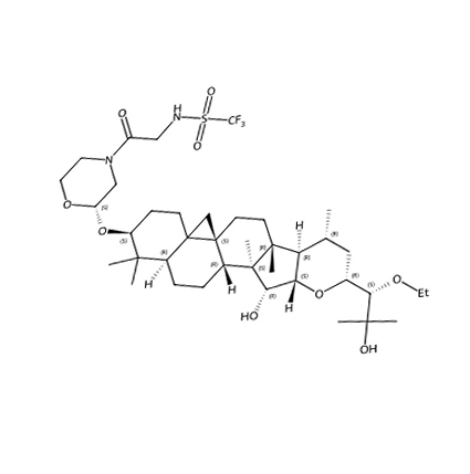 CCO[C@@H]([C@H]1C[C@@H](C)[C@H]2[C@H](O1)[C@H](O)[C@@]1(C)[C@@H]3CC[C@H]4C(C)(C)[C@@H](O[C@H]5CN(C(=O)CNS(=O)(=O)C(F)(F)F)CCO5)CCC45C[C@@]35CC[C@]21C)C(C)(C)O